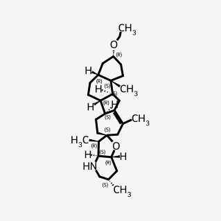 CCO[C@@H]1CC[C@@]2(C)[C@H](CC[C@H]3[C@@H]4CC[C@@]5(CC(C)=C4C[C@@H]32)O[C@@H]2C[C@H](C)CN[C@H]2[C@H]5C)C1